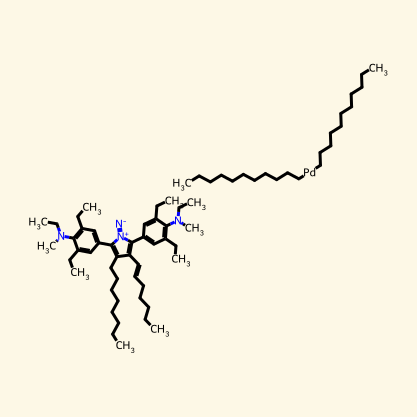 CCCCCC=CC1=C(c2cc(CC)c(N(C)CC)c(CC)c2)[N+](=[N-])C(c2cc(CC)c(N(C)CC)c(CC)c2)=C1CCCCCCCC.CCCCCCCCCC[CH2][Pd][CH2]CCCCCCCCCC